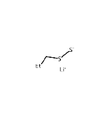 CCCS[S-].[Li+]